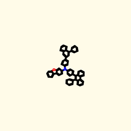 c1ccc(-c2cc(-c3ccc(N(c4ccc(-c5c(-c6ccccc6)c6ccccc6c6ccccc56)cc4)c4ccc5c(c4)oc4ccccc45)cc3)cc3ccccc23)cc1